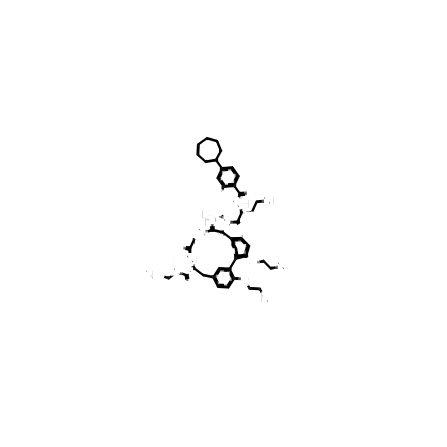 Cc1cc(C2CCCCCC2)ccc1C(=O)N[C@@H](CCN)C(=O)N(C)[C@@H]1C(=O)N[C@@H](C)C(=O)N[C@H](C(=O)NCC#N)Cc2ccc(OCCN)c(c2)-c2cc1ccc2OCCN